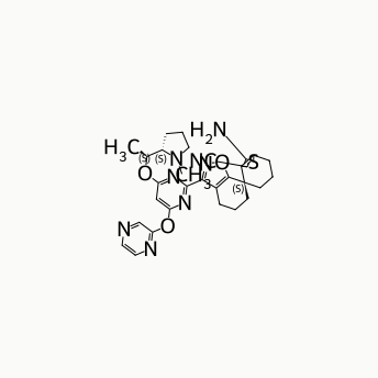 C[C@H](Oc1cc(Oc2cnccn2)nc(-c2noc3c2CCC[C@@]32CCCc3sc(N)c(C#N)c32)n1)[C@@H]1CCCN1C